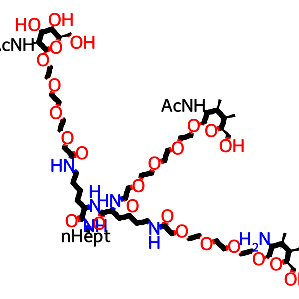 CCCCCCCNC(=O)C(CCCCNC(=O)COCCOCCOCCO[C@@H]1O[C@H](CO)[C@H](O)[C@H](O)[C@H]1NC(C)=O)NC(=O)C(CCCCNC(=O)COCCOCCOCCO[C@@H]1O[C@H](CO)[C@H](C)[C@H](C)[C@H]1N)NC(=O)COCCOCCOCCO[C@@H]1O[C@H](CO)[C@H](C)[C@H](C)[C@H]1NC(C)=O